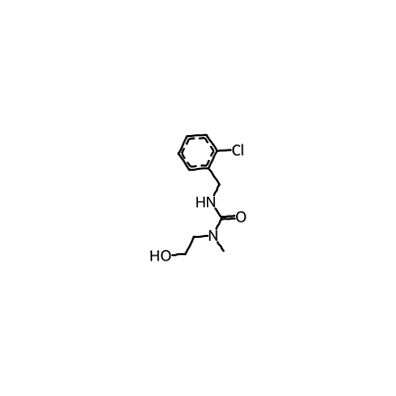 CN(CCO)C(=O)NCc1ccccc1Cl